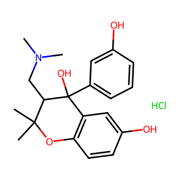 CN(C)CC1C(C)(C)Oc2ccc(O)cc2C1(O)c1cccc(O)c1.Cl